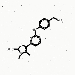 CC1=C(c2ccnc(Nc3ccc(CN)cc3)n2)SC(C=O)N1C